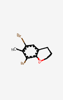 N#Cc1c(Br)cc2c(c1Br)OCCC2